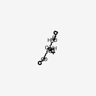 CC(C)(C)OC(=O)N[C@@H](CCCCNC(=O)OCc1ccccc1)C(=O)NCCCCCC(=O)OCc1ccccc1